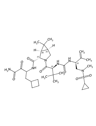 C=C(C)[C@@H](CN(C)S(=O)(=O)C1CC1)NC(=O)N[C@H](C(=O)N1C[C@H]2[C@@H]([C@H]1C(=O)NC(CC1CCC1)C(=O)C(N)=O)C2(C)C)C(C)(C)C